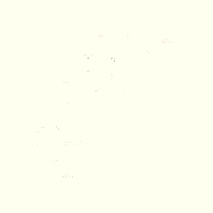 CC(C)(C)OC(=O)N1C(=O)[C@H](C[C@H]2COC(C)(C)N2C(=O)OC(C)(C)C)[C@H]2C[C@H]21